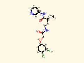 C=C(CCNC(=O)COc1ccc(Cl)c(F)c1)C(=O)Nc1cccnc1